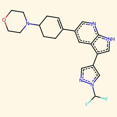 FC(F)n1cc(-c2c[nH]c3ncc(C4=CCC(N5CCOCC5)CC4)cc23)cn1